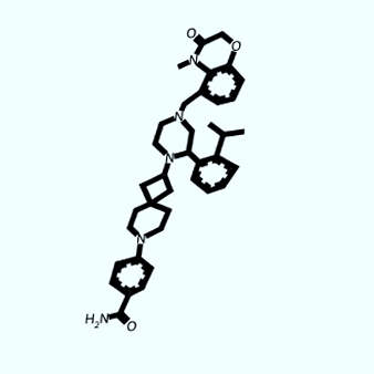 CC(C)c1ccccc1C1CN(Cc2cccc3c2N(C)C(=O)CO3)CCN1C1CC2(CCN(c3ccc(C(N)=O)cc3)CC2)C1